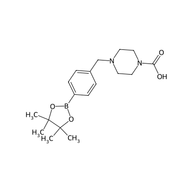 CC1(C)OB(c2ccc(CN3CCN(C(=O)O)CC3)cc2)OC1(C)C